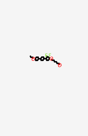 CCCOc1ccc(-c2ccc(-c3ccc(OCCCCCCOC)c(F)c3F)cc2)cc1